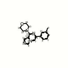 Cc1cccc(-c2cn3cncc3c(N3CCOCC3)n2)c1